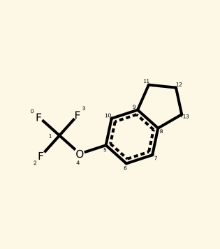 FC(F)(F)Oc1ccc2c(c1)CC[CH]2